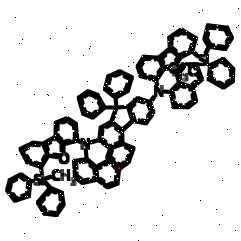 C[Si](c1ccccc1)(c1ccccc1)c1cccc2c1oc1c(N(c3ccc4c(c3)C(c3ccccc3)(c3ccccc3)c3cc(N(c5cccc6ccccc56)c5cccc6c5oc5c([Si](C)(c7ccccc7)c7ccccc7)cccc56)c5ccccc5c3-4)c3cccc4ccccc34)cccc12